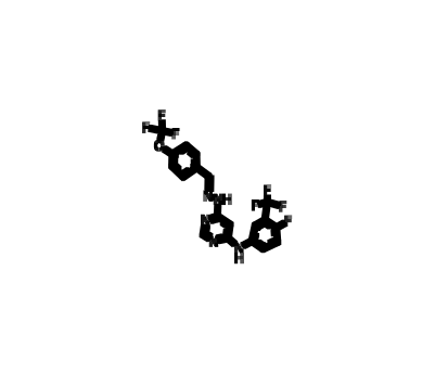 Fc1ccc(Nc2cc(NN=Cc3ccc(OC(F)(F)F)cc3)ncn2)cc1C(F)(F)F